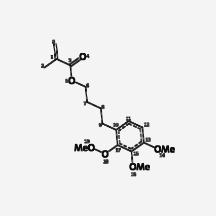 C=C(C)C(=O)OCCCCc1ccc(OC)c(OC)c1OOC